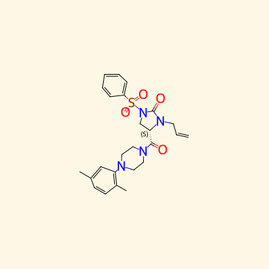 C=CCN1C(=O)N(S(=O)(=O)c2ccccc2)C[C@H]1C(=O)N1CCN(c2cc(C)ccc2C)CC1